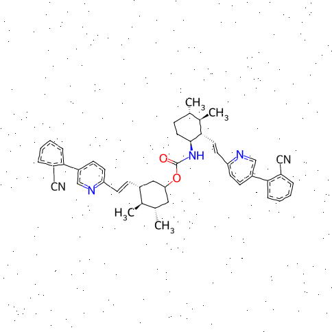 C[C@H]1[C@H](/C=C/c2ccc(-c3ccccc3C#N)cn2)[C@@H](NC(=O)OC2C[C@@H](/C=C/c3ccc(-c4ccccc4C#N)cn3)[C@H](C)[C@@H](C)C2)CC[C@@H]1C